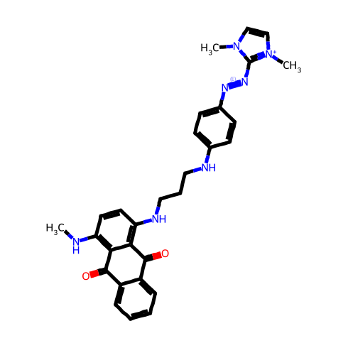 CNc1ccc(NCCCNc2ccc(/N=N/c3n(C)cc[n+]3C)cc2)c2c1C(=O)c1ccccc1C2=O